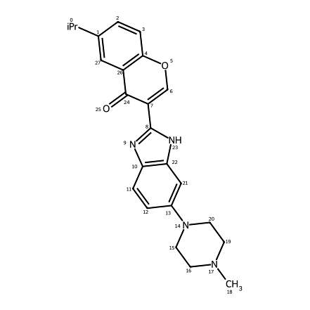 CC(C)c1ccc2occ(-c3nc4ccc(N5CCN(C)CC5)cc4[nH]3)c(=O)c2c1